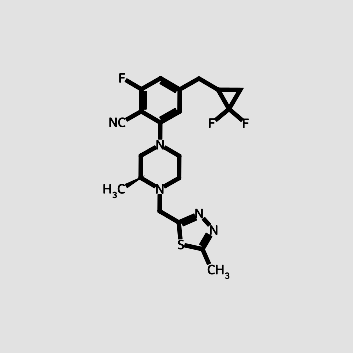 Cc1nnc(CN2CCN(c3cc(CC4CC4(F)F)cc(F)c3C#N)C[C@@H]2C)s1